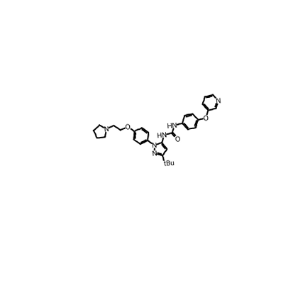 CC(C)(C)c1cc(NC(=O)Nc2ccc(Oc3cccnc3)cc2)n(-c2ccc(OCCN3CCCC3)cc2)n1